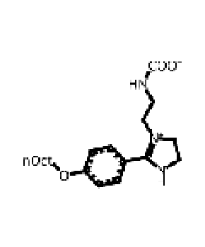 CCCCCCCCOc1ccc(C2=[N+](CCNC(=O)[O-])CCN2)cc1